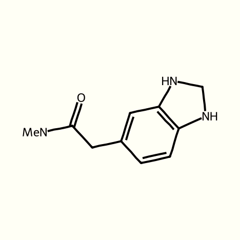 CNC(=O)Cc1ccc2c(c1)NCN2